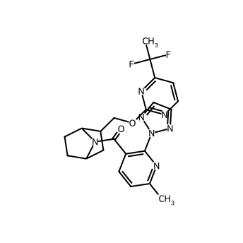 Cc1ccc(C(=O)N2C3CCC2C(COc2nccc(C(C)(F)F)n2)C3)c(-n2nccn2)n1